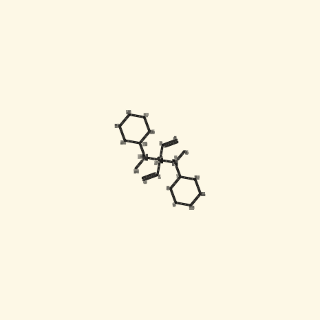 C=C[Si](C=C)(N(C)C1CCCCC1)N(C)C1CCCCC1